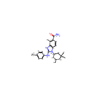 Cc1c(C(N)=O)ccc2c1nc(Nc1ccc(C(C)C)cc1)n2C1C[C@H](C)CC(C)(C)C1